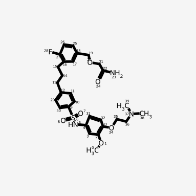 COc1cc(NS(=O)(=O)c2ccc(CCCc3cc(COCC(N)=O)ccc3F)cc2)ccc1OCCN(C)C